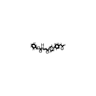 CC(=O)Cc1ccc(N2CCN(C(=O)CCNC(=O)OCc3ccccc3)CC2)cc1